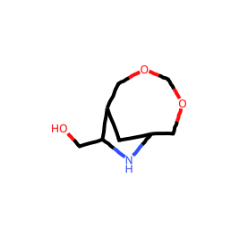 OCC1NC2COCOCC1C2